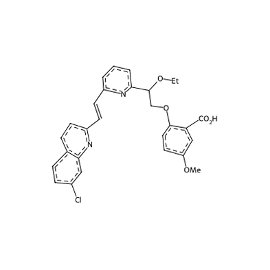 CCOC(COc1ccc(OC)cc1C(=O)O)c1cccc(/C=C/c2ccc3ccc(Cl)cc3n2)n1